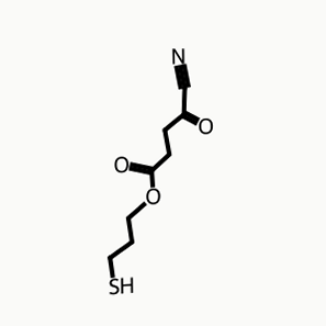 N#CC(=O)CCC(=O)OCCCS